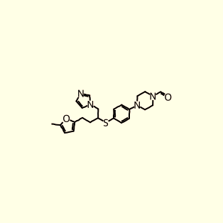 Cc1ccc(CCC(Cn2ccnc2)Sc2ccc(N3CCN(C=O)CC3)cc2)o1